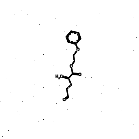 C=C(CCC=O)C(=O)OCCOc1ccccc1